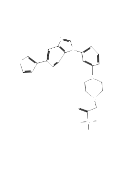 CC[N+](O)(CC)C(=O)CN1CCN(c2cccc(-n3cnc4cc(-c5ccoc5)ccc43)c2)CC1